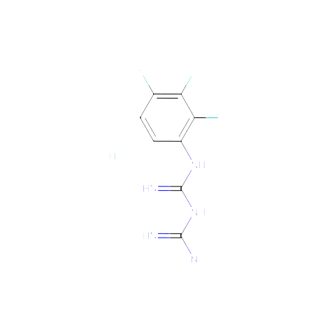 Cl.N=C(N)NC(=N)Nc1ccc(F)c(F)c1F